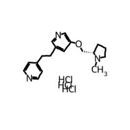 CN1CCC[C@H]1COc1cncc(CCc2ccncc2)c1.Cl.Cl.Cl